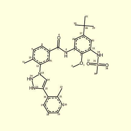 COc1c(NC(=O)c2ccc(C)c(N3C=C(c4cccnc4C)NN3)c2)cc(C(C)(C)C)cc1NS(C)(=O)=O